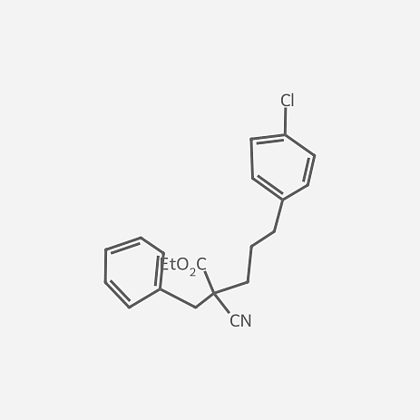 CCOC(=O)C(C#N)(CCCc1ccc(Cl)cc1)Cc1ccccc1